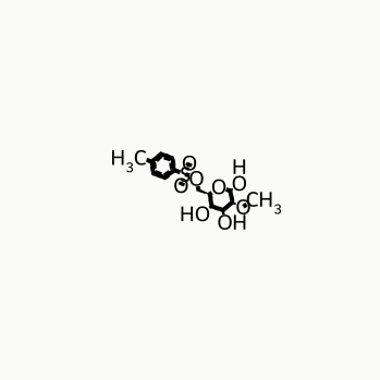 CO[C@@H]1[C@@H](O)[C@@H](O)[C@@H](COS(=O)(=O)c2ccc(C)cc2)O[C@@H]1O